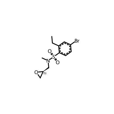 CCc1cc(Br)ccc1S(=O)(=O)N(C)C[C@H]1CO1